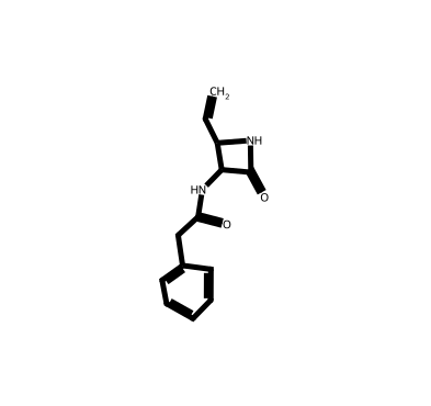 C=CC1NC(=O)C1NC(=O)Cc1ccccc1